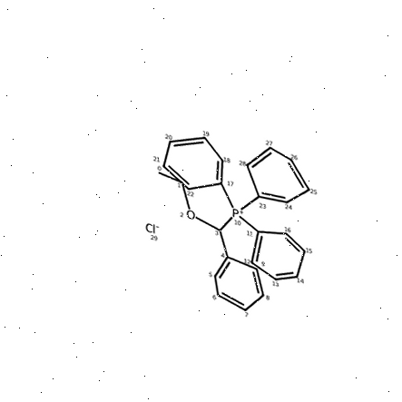 CCOC(c1ccccc1)[P+](c1ccccc1)(c1ccccc1)c1ccccc1.[Cl-]